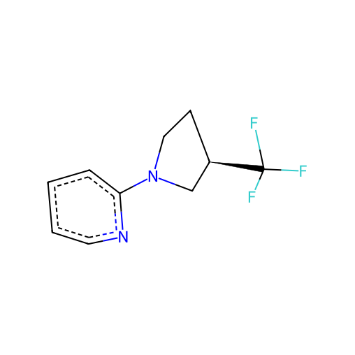 FC(F)(F)[C@@H]1CCN(c2ccccn2)C1